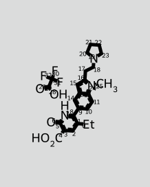 CCc1cc(C(=O)O)c(=O)[nH]c1-c1ccc2c(c1)cc(CCN1CCCC1)n2C.O=C(O)C(F)(F)F